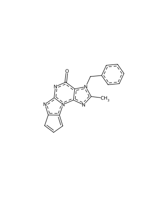 Cc1nc2c(c(=O)nc3nc4c(n32)=CC=C4)n1Cc1ccccc1